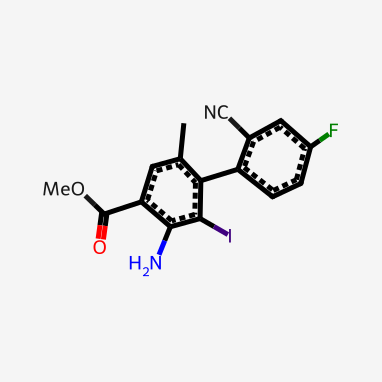 COC(=O)c1cc(C)c(-c2ccc(F)cc2C#N)c(I)c1N